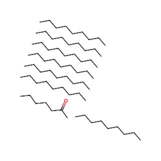 CCCCCC(C)=O.CCCCCCCCC.CCCCCCCCC.CCCCCCCCC.CCCCCCCCC.CCCCCCCCC.CCCCCCCCC.CCCCCCCCC